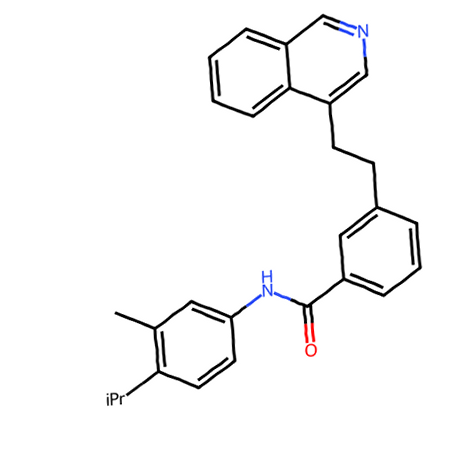 Cc1cc(NC(=O)c2cccc(CCc3cncc4ccccc34)c2)ccc1C(C)C